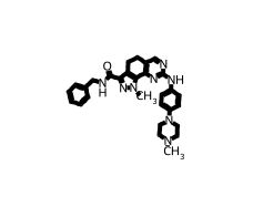 CN1CCN(c2ccc(Nc3ncc4c(n3)-c3c(c(C(=O)NCc5ccccc5)nn3C)CC4)cc2)CC1